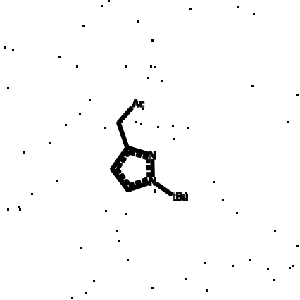 CC(=O)Cc1ccn(C(C)(C)C)n1